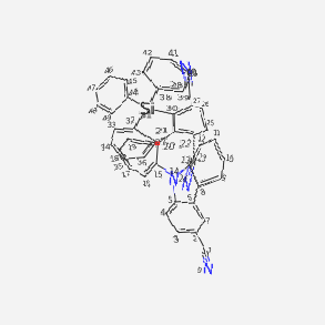 N#Cc1ccc2c(c1)c1ccccc1n2-c1ccccc1-c1c(C#N)ccc(C#N)c1[Si](c1ccccc1)(c1ccccc1)c1ccccc1